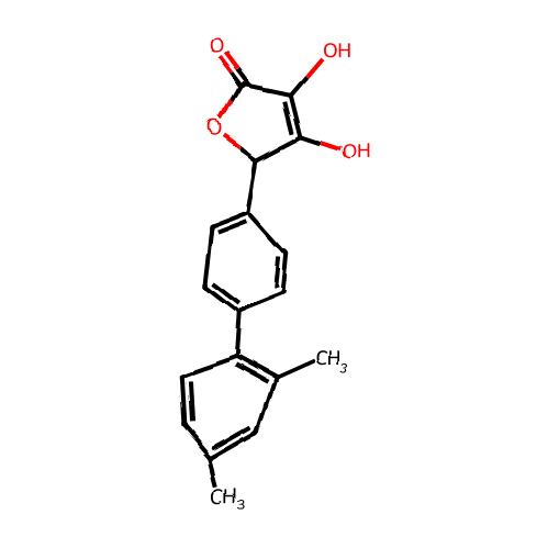 Cc1ccc(-c2ccc(C3OC(=O)C(O)=C3O)cc2)c(C)c1